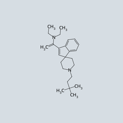 C=C(C1=CC2(CCN(CCC(C)(C)C)CC2)c2ccccc21)N(CC)CC